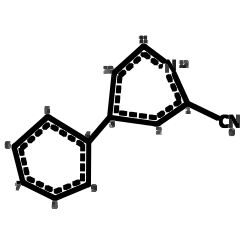 N#Cc1cc(-c2cc[c]cc2)ccn1